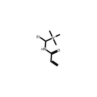 [CH2]CC(NC(=O)C=C)[N+](C)(C)C